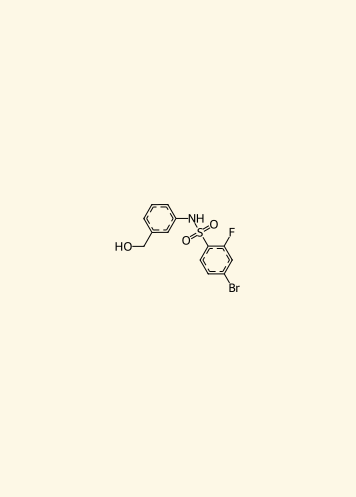 O=S(=O)(Nc1cccc(CO)c1)c1ccc(Br)cc1F